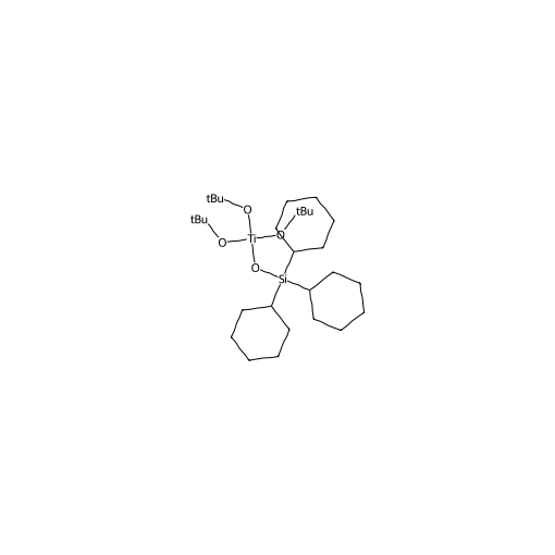 CC(C)(C)[O][Ti]([O]C(C)(C)C)([O]C(C)(C)C)[O][Si](C1CCCCC1)(C1CCCCC1)C1CCCCC1